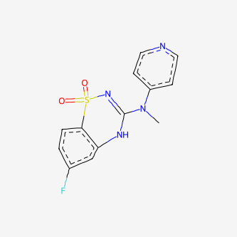 CN(C1=NS(=O)(=O)c2ccc(F)cc2N1)c1ccncc1